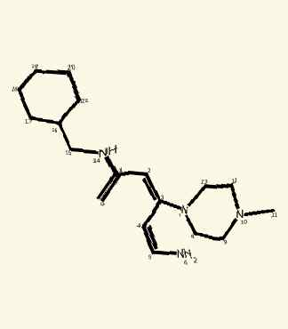 C=C(/C=C(\C=C/N)N1CCN(C)CC1)NCC1CCCCC1